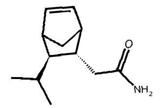 CC(C)[C@H]1C2C=CC(C2)[C@@H]1CC(N)=O